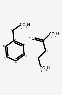 O=C(O)CCC(=O)C(=O)O.O=C(O)Cc1ccccc1